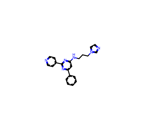 c1ccc(-c2cc(NCCCn3ccnc3)nc(-c3ccncc3)n2)cc1